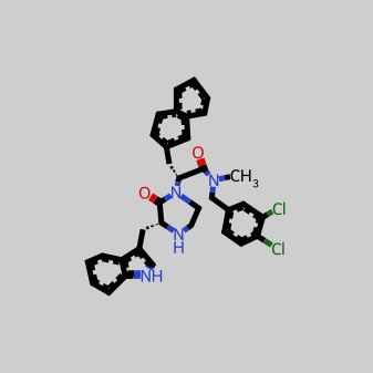 CN(Cc1ccc(Cl)c(Cl)c1)C(=O)[C@@H](Cc1ccc2ccccc2c1)N1CCN[C@H](Cc2c[nH]c3ccccc23)C1=O